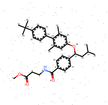 COC(=O)CCNC(=O)c1ccc(C(CC(C)C)Oc2cc(C)c(-c3ccc(C(C)(C)C)cc3)c(C)c2)cc1